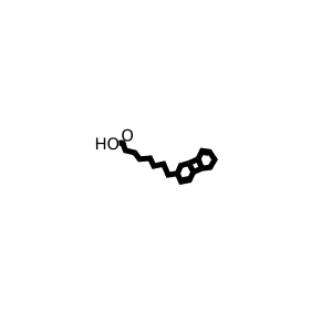 O=C(O)CCCCCCCC1C=CC2C3CCC=CC3C2C1